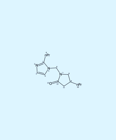 CCCc1nccn1CN1CC(CCC)CC1=O